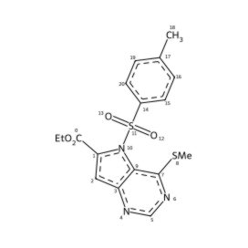 CCOC(=O)c1cc2ncnc(SC)c2n1S(=O)(=O)c1ccc(C)cc1